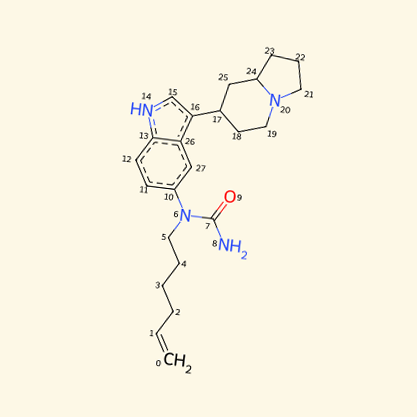 C=CCCCCN(C(N)=O)c1ccc2[nH]cc(C3CCN4CCCC4C3)c2c1